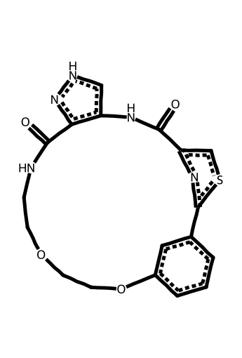 O=C1Nc2c[nH]nc2C(=O)NCCOCCOc2cccc(c2)-c2nc1cs2